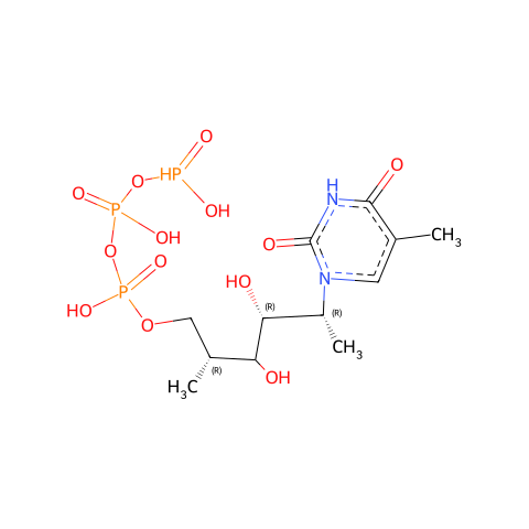 Cc1cn([C@H](C)[C@@H](O)C(O)[C@H](C)COP(=O)(O)OP(=O)(O)O[PH](=O)O)c(=O)[nH]c1=O